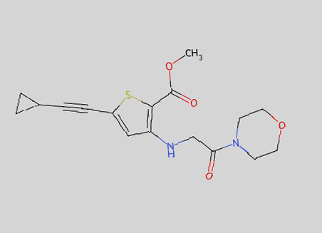 COC(=O)c1sc(C#CC2CC2)cc1NCC(=O)N1CCOCC1